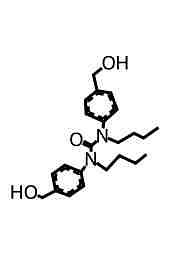 CCCCN(C(=O)N(CCCC)c1ccc(CO)cc1)c1ccc(CO)cc1